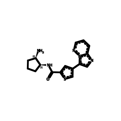 N[C@H]1CCC[C@H]1NC(=O)c1cc(-c2cnc3cccnn23)cs1